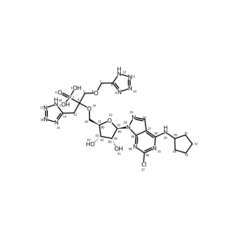 O=P(O)(O)C(COCc1nnn[nH]1)(Cc1nnn[nH]1)OC[C@H]1O[C@@H](n2ncc3c(NC4CCCC4)nc(Cl)nc32)[C@H](O)[C@@H]1O